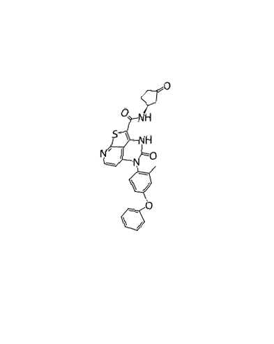 Cc1cc(Oc2ccccc2)ccc1N1C(=O)Nc2c(C(=O)N[C@H]3CCC(=O)C3)sc3nccc1c23